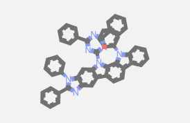 c1ccc(-c2nc(-c3ccccc3)nc(-n3c4cc5c(cc4c4ccc6c7ccccc7n(-c7ccccc7)c6c43)nc(-c3ccccc3)n5-c3ccccc3)n2)cc1